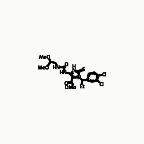 CCC(c1ccc(Cl)c(Cl)c1)n1c(C(=O)OC)c(NC(=O)NCC(OC)OC)[nH]c1=S